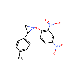 Cc1ccc(C2CN2Oc2ccc([N+](=O)[O-])cc2[N+](=O)[O-])cc1